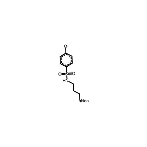 CCCCCCCCCCCCNS(=O)(=O)c1ccc([O])cc1